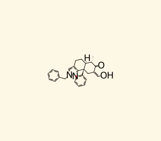 C[C@@H]1C(=O)/C(=C\O)C[C@]2(c3ccccc3)c3nn(Cc4ccccc4)cc3CC[C@@H]12